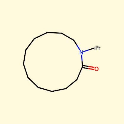 CC(C)N1CCCCCCCCCCCC1=O